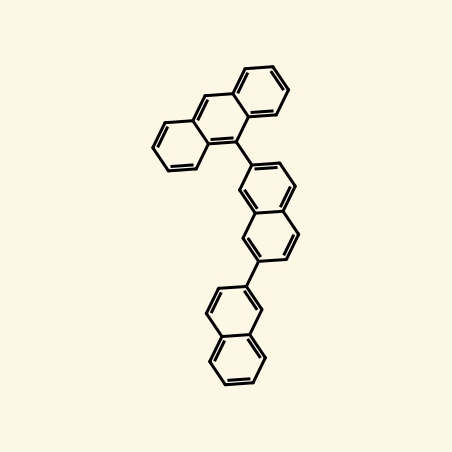 c1ccc2cc(-c3ccc4ccc(-c5c6ccccc6cc6ccccc56)cc4c3)ccc2c1